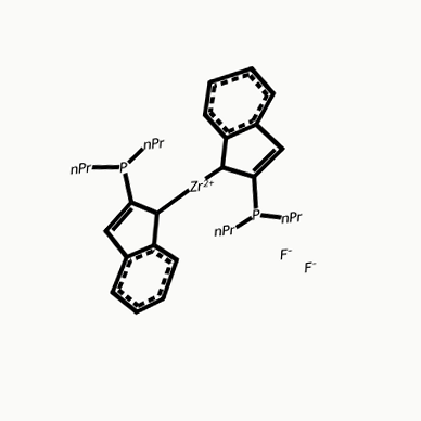 CCCP(CCC)C1=Cc2ccccc2[CH]1[Zr+2][CH]1C(P(CCC)CCC)=Cc2ccccc21.[F-].[F-]